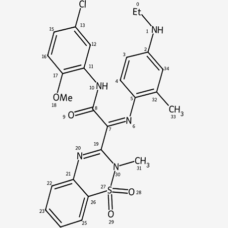 CCNc1ccc(/N=C(\C(=O)Nc2cc(Cl)ccc2OC)C2=Nc3ccccc3S(=O)(=O)N2C)c(C)c1